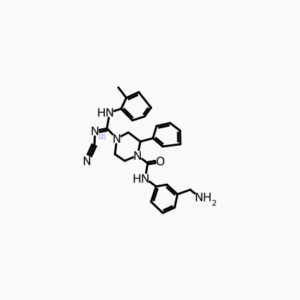 Cc1ccccc1N/C(=N/C#N)N1CCN(C(=O)Nc2cccc(CN)c2)C(c2ccccc2)C1